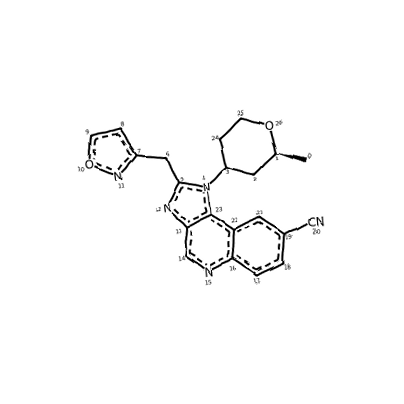 C[C@H]1CC(n2c(Cc3ccon3)nc3cnc4ccc(C#N)cc4c32)CCO1